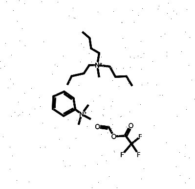 CCCC[N+](C)(CCCC)CCCC.C[N+](C)(C)c1ccccc1.O=COC(=O)C(F)(F)F